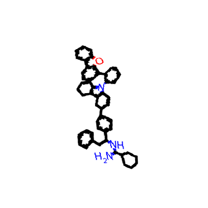 NC(NC(Cc1ccccc1)c1ccc(C2C=Cc3c(c4c(n3-c3ccccc3-c3cccc5c3oc3ccccc35)C=CCC4)C2)cc1)C1CCCCC1